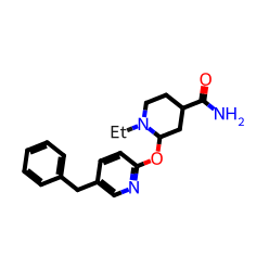 CCN1CCC(C(N)=O)CC1Oc1ccc(Cc2ccccc2)cn1